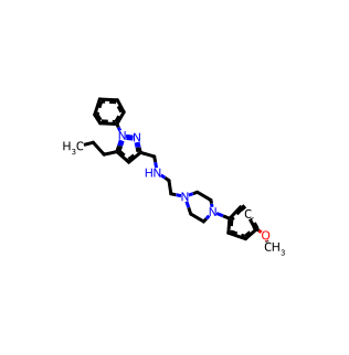 CCCc1cc(CNCCN2CCN(c3ccc(OC)cc3)CC2)nn1-c1ccccc1